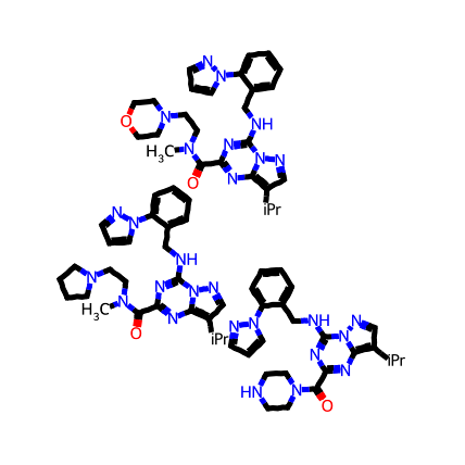 CC(C)c1cnn2c(NCc3ccccc3-n3cccn3)nc(C(=O)N(C)CCN3CCCC3)nc12.CC(C)c1cnn2c(NCc3ccccc3-n3cccn3)nc(C(=O)N(C)CCN3CCOCC3)nc12.CC(C)c1cnn2c(NCc3ccccc3-n3cccn3)nc(C(=O)N3CCNCC3)nc12